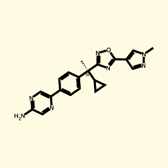 Cn1cc(-c2nc([C@](C)(c3ccc(-c4cnc(N)cn4)cc3)C3CC3)no2)cn1